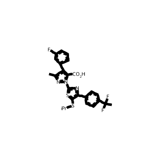 Cc1nn(-c2nc(-c3ccc(C(C)(F)F)cc3)c(SC(C)C)s2)c(C(=O)O)c1-c1cccc(F)c1